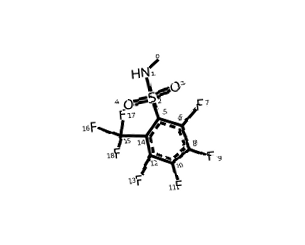 CNS(=O)(=O)c1c(F)c(F)c(F)c(F)c1C(F)(F)F